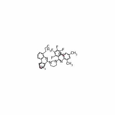 CCCc1cccc(CCC)c1/N=C(\c1ccccc1)N1CCCN(/C(=N/c2c(C)cc(C)cc2Cl)c2c(F)c(F)c(F)c(F)c2F)C1